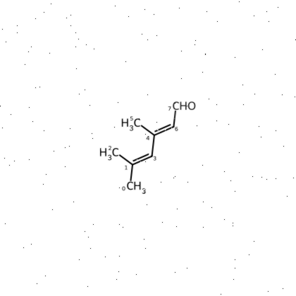 CC(C)=C/C(C)=C/C=O